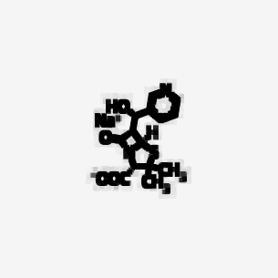 CC1(C)S[C@@H]2[C@H]([C@@H](O)c3cccnc3)C(=O)N2[C@H]1C(=O)[O-].[Na+]